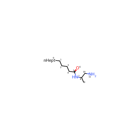 CCCCCCCCCCCC(=O)NC(C)CN